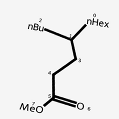 CCCCCCC(CCCC)CCC(=O)OC